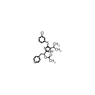 CC(=O)OC(Cc1ccncc1)c1nc(Sc2cccc(Cl)c2)c(C(C)C)[nH]1